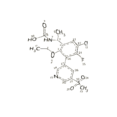 CCOc1c(C(C)NC(=O)O)cc(Cl)c(F)c1-c1cncc(S(C)(=O)=O)c1